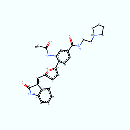 CCCC(=O)Nc1cc(C(=O)NCCN2CCCC2)ccc1-c1ccc(/C=C2/C(=O)Nc3ccccc32)o1